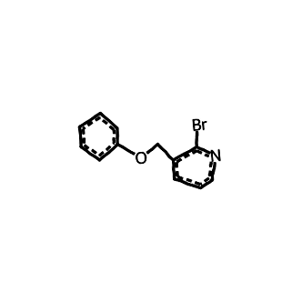 Brc1ncccc1COc1ccccc1